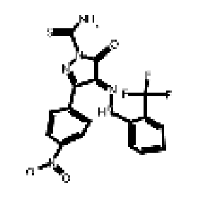 NC(=S)N1N=C(c2ccc([N+](=O)[O-])cc2)/C(=N\Nc2ccccc2C(F)(F)F)C1=O